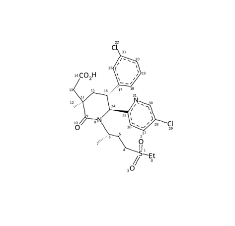 CCS(=O)(=O)CC[C@H](C)N1C(=O)[C@@](C)(CC(=O)O)C[C@H](c2cccc(Cl)c2)[C@H]1c1ccc(Cl)cn1